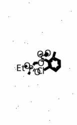 CCOP(C)(=O)COS(=O)(=O)c1c(C)cccc1Cl